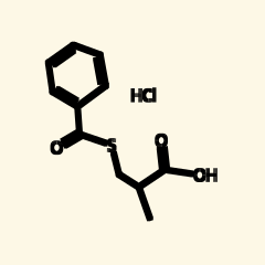 CC(CSC(=O)c1ccccc1)C(=O)O.Cl